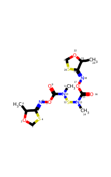 CC1OCSC1=NOC(=O)N(C)SN(C)C(=O)ON=C1SCOC1C